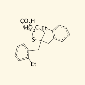 CCc1ccccc1CC(CC(=O)O)(Cc1ccccc1CC)SCCC(=O)O